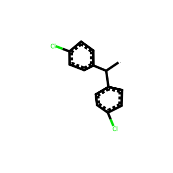 [CH2]C(c1ccc(Cl)cc1)c1ccc(Cl)cc1